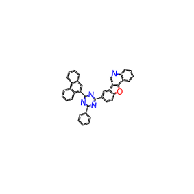 c1ccc(-c2nc(-c3ccc4oc5c6ccccc6ncc5c4c3)nc(-c3cc4ccccc4c4ccccc34)n2)cc1